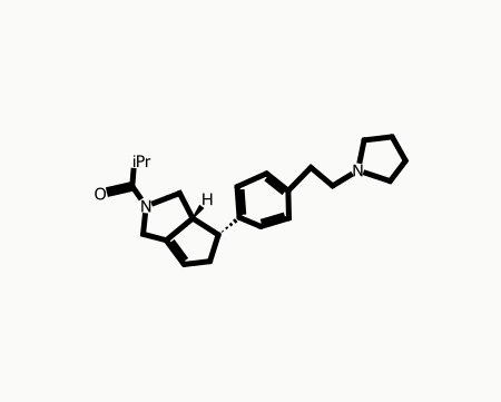 CC(C)C(=O)N1CC2=CC[C@@H](c3ccc(CCN4CCCC4)cc3)[C@H]2C1